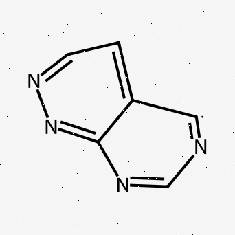 [c]1ncnc2nnccc12